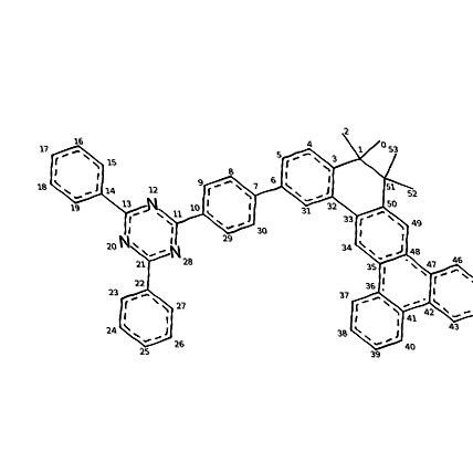 CC1(C)c2ccc(-c3ccc(-c4nc(-c5ccccc5)nc(-c5ccccc5)n4)cc3)cc2-c2cc3c4ccccc4c4ccccc4c3cc2C1(C)C